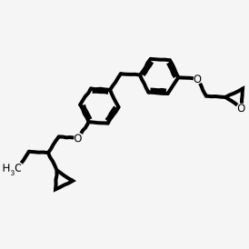 CCC(COc1ccc(Cc2ccc(OCC3CO3)cc2)cc1)C1CC1